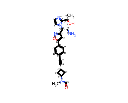 C[C@H](O)c1nccn1[C@H](CN)c1cc(-c2ccc(C#C[C@H]3C[C@H](N(C)C=O)C3)cc2)on1